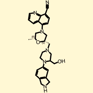 C[C@@H]1CN(c2ccc(C#N)c3ncccc23)C[C@H](CN2CCN(c3ccc4c(c3)CNC4)C(CO)C2)O1